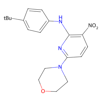 CC(C)(C)c1ccc(Nc2nc(N3CCOCC3)ccc2[N+](=O)[O-])cc1